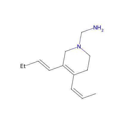 C/C=C\C1=C(/C=C/CC)CN(CN)CC1